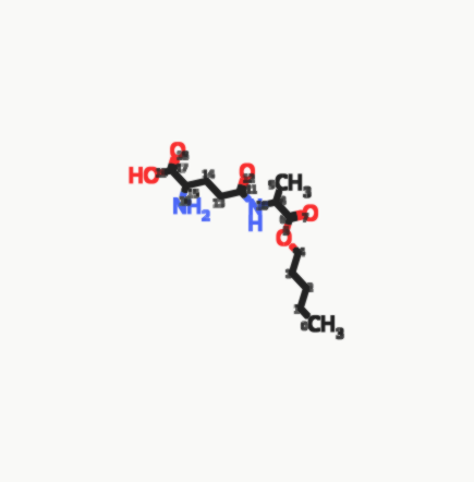 CCCCCOC(=O)C(C)NC(=O)CCC(N)C(=O)O